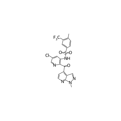 Cc1ccc(S(=O)(=O)Nc2cc(Cl)cnc2C(=O)c2ccnc3c2cnn3C)cc1C(F)(F)F